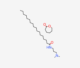 CCCCCCCCCCCCCCCCCC(=O)NCCCN(C)C.O=C1CCCCCO1